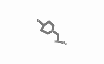 NNCN1CCC(F)CC1